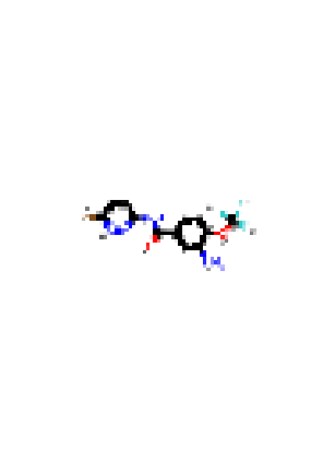 Nc1cc(C(=O)Nc2ccc(Br)nn2)ccc1OC(F)(F)F